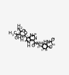 C[C@@H](O)[C@H](NC(=O)c1c[nH]c2c(C(=O)NCc3ccc4c(c3)NC(=O)CO4)ncnc12)C(N)=O